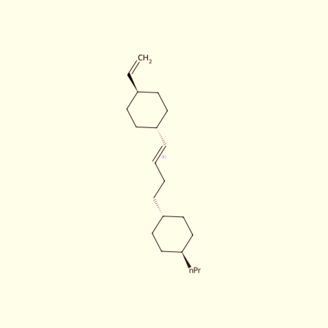 C=C[C@H]1CC[C@H](/C=C/CC[C@H]2CC[C@H](CCC)CC2)CC1